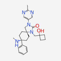 CN[C@]1(c2ccccc2)CC[C@@]2(CC1)CN(c1cnc(C)nc1)C(=O)N2CC1(O)CCC1